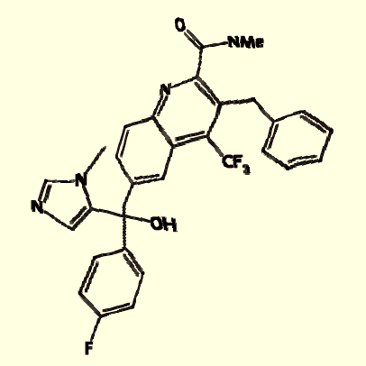 CNC(=O)c1nc2ccc(C(O)(c3ccc(F)cc3)c3cncn3C)cc2c(C(F)(F)F)c1Cc1ccccc1